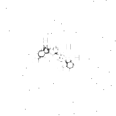 Cc1cccc(Cl)c1N1CCN(C(=O)Cc2c(C(=O)O)[nH]c3ccc(Cl)cc23)CC1